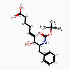 CC(C)(C)OC(=O)N[C@@H](Cc1ccccc1)[C@@H](O)/C=C/CCCC(=O)O